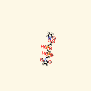 O=C(CCP(=O)(O)CCP(=O)(O)CCN1C(=O)C=CC1=O)ON1CCCC1=O